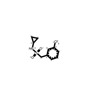 O=S(=O)(Cc1cccc(C(F)(F)F)c1)NC1CC1